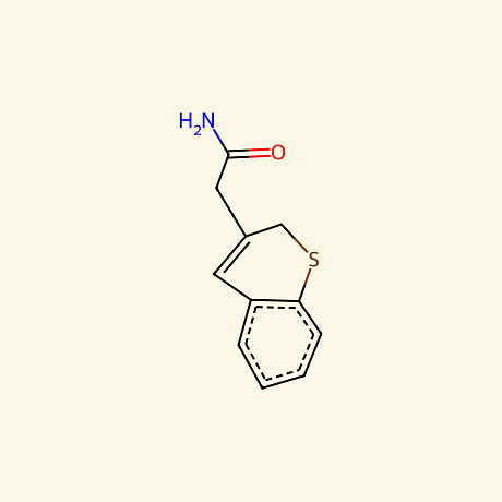 NC(=O)CC1=Cc2ccccc2SC1